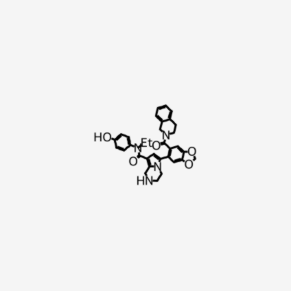 CCN(C(=O)c1cc(-c2cc3c(cc2C(=O)N2CCc4ccccc4C2)OCO3)n2c1CNCC2)c1ccc(O)cc1